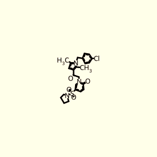 Cc1cc(C(=O)Cn2cc(S(=O)(=O)N3CCCC3)ccc2=O)c(C)n1Cc1ccc(Cl)cc1